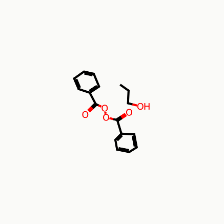 CCCO.O=C(OOC(=O)c1ccccc1)c1ccccc1